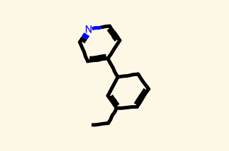 CCC1=CC(c2ccncc2)CC=C1